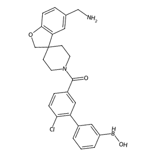 NCc1ccc2c(c1)C1(CCN(C(=O)c3ccc(Cl)c(-c4cccc(BO)c4)c3)CC1)CO2